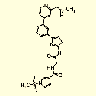 CNCc1cc(-c2cccc(-c3csc(NC(=O)CNC(=O)c4ccn(S(C)(=O)=O)c4)n3)c2)ccn1